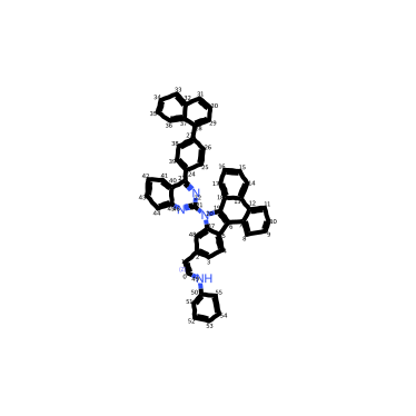 C(=C/c1ccc2c3c4ccccc4c4ccccc4c3n(-c3nc(-c4ccc(-c5cccc6ccccc56)cc4)c4ccccc4n3)c2c1)/Nc1ccccc1